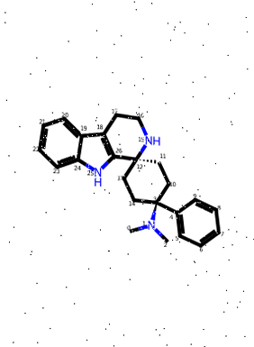 CN(C)[C@]1(c2ccccc2)CC[C@@]2(CC1)NCCc1c3ccccc3[nH]c12